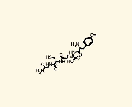 COc1ccc(C[C@@H](N)C(=O)N[C@@H](CCC(=O)N[C@@H](CS)C(=O)NCC(N)=O)C(=O)O)cc1